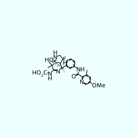 COc1cnc(C(=O)Nc2ccc(F)c([C@@]3(C)N=C(NC(=O)O)C(C)(C)[S@@]4(O)NCC[C@@H]34)c2)c(C)c1